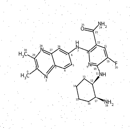 Cc1nc2ccc(Nc3nc(N[C@@H]4CCCC[C@@H]4N)c(F)cc3C(N)=O)cc2nc1C